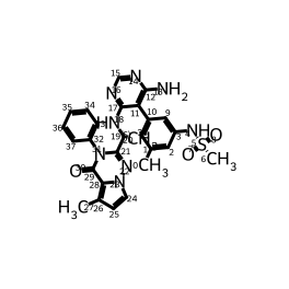 Cc1cc(NS(C)(=O)=O)cc(-c2c(N)ncnc2N[C@@H](C)c2nn3ccc(C)c3c(=O)n2-c2ccccc2)c1